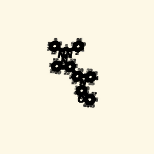 c1ccc(-c2cc(-c3ccccc3)nc(-n3c4ccccc4c4cc(-c5ccc6c(c5)c5ccccc5n6-c5ccc6oc7ccccc7c6c5)ccc43)n2)cc1